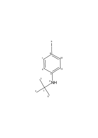 CC(C)(C)Nc1ccc(I)cc1